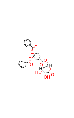 CO[C@H]1O[C@@H]2COC(c3ccc(OC(=O)c4ccccc4)c(OC(=O)c4ccccc4)c3)O[C@@H]2[C@H](O)[C@H]1O